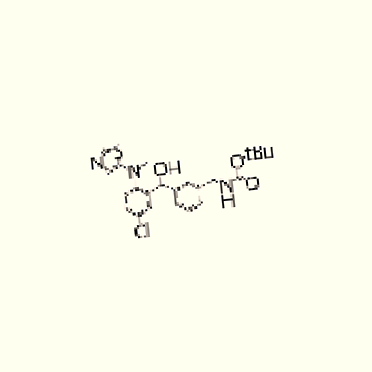 CN(c1cncs1)c1ccc(Cl)cc1C(O)c1cccc(CNC(=O)OC(C)(C)C)c1